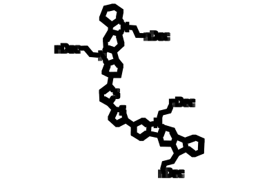 CCCCCCCCCCCCC1c2ccccc2-c2cc3c(cc21)c1ccc(-c2ccc(-c4ccc(-c5ccc6c7cc8c(cc7n(CCCCCCCCCCCC)c6c5)c5ccccc5n8CCCCCCCCCCCC)s4)s2)cc1n3CCCCCCCCCCCC